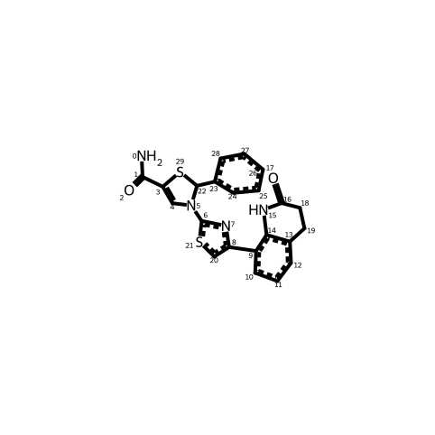 NC(=O)C1=CN(c2nc(-c3cccc4c3NC(=O)CC4)cs2)C(c2ccccc2)S1